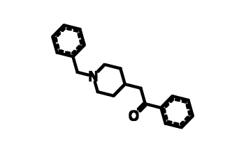 O=C(CC1CCN(Cc2ccccc2)CC1)c1ccccc1